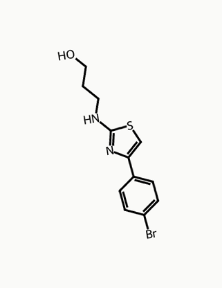 OCCCNc1nc(-c2ccc(Br)cc2)cs1